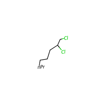 CCCCCCC(Cl)CCl